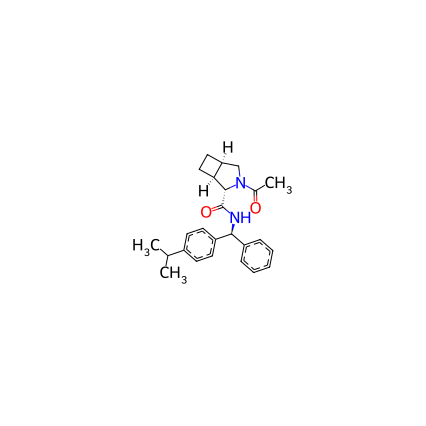 CC(=O)N1C[C@@H]2CC[C@@H]2[C@H]1C(=O)N[C@@H](c1ccccc1)c1ccc(C(C)C)cc1